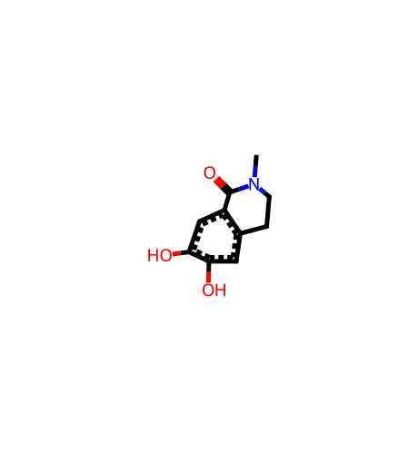 CN1CCc2cc(O)c(O)cc2C1=O